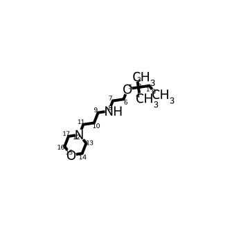 CCC(C)(C)OCCNCCCN1CCOCC1